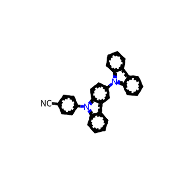 N#Cc1ccc(-n2c3ccccc3c3cc(-n4c5ccccc5c5ccccc54)ccc32)cc1